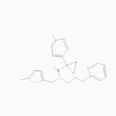 CCOC(=O)c1ccc(CN(CCCc2ccccc2)C(=O)C2(c3ccc(OC)cc3)CC2)o1